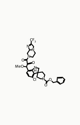 COC(C(=O)C(=O)N1CCN2CC(C(F)(F)F)=NC2C1)c1ccc(Cl)c2c1NCC21CCN(C(=O)OCc2ccccc2)CC1